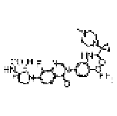 CN1CCN(C2(C(=O)Nc3cc(-n4cnc5c(F)c(N6CC[C@@H](NC(=O)O)C6)ccc5c4=O)ccc3OC(F)(F)F)CC2)CC1